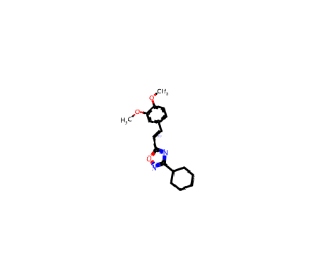 COc1ccc(/C=C/c2nc(C3CCCCC3)no2)cc1OC